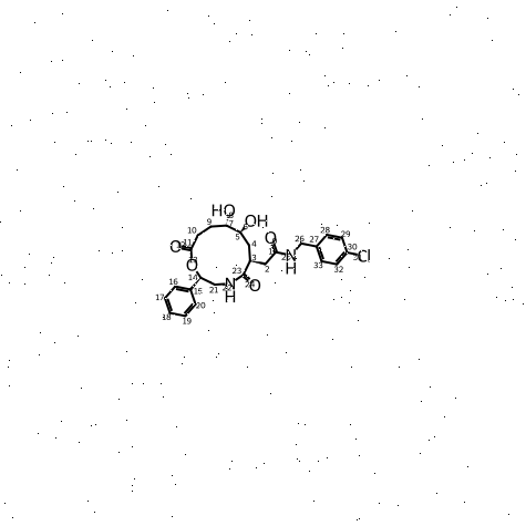 O=C(C[C@@H]1C[C@H](O)[C@@H](O)CCC(=O)O[C@H](c2ccccc2)CNC1=O)NCc1ccc(Cl)cc1